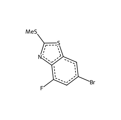 CSc1nc2c(F)cc(Br)cc2s1